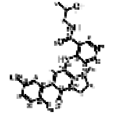 CC(O)CNC(=O)c1cnccc1Nc1cc(-c2cc(Cl)ccc2F)c(=O)n2c1N(C)CC2